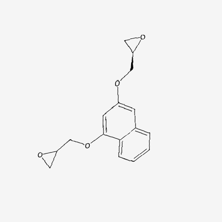 c1ccc2c(OCC3CO3)cc(OC[C@H]3CO3)cc2c1